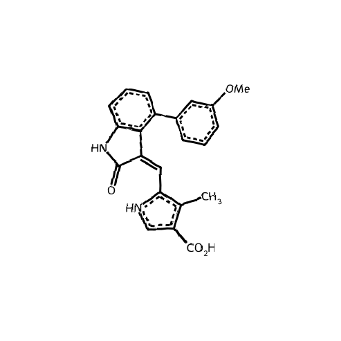 COc1cccc(-c2cccc3c2C(=Cc2[nH]cc(C(=O)O)c2C)C(=O)N3)c1